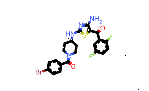 Nc1nc(NC2CCN(C(=O)c3ccc(Br)cc3)CC2)sc1C(=O)c1cc(F)ccc1F